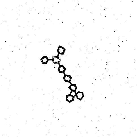 c1ccc(-c2nc(-c3ccccc3)nc(-c3ccc(-c4ccc(-c5ccc6c(c5)-c5ccccc5C65CCCCC5)cc4)cc3)n2)cc1